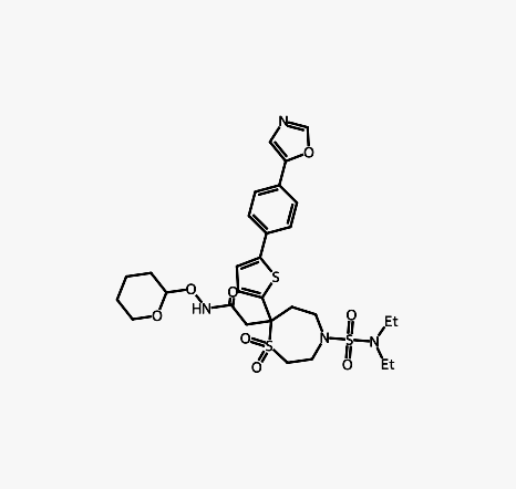 CCN(CC)S(=O)(=O)N1CCC(CC(=O)NOC2CCCCO2)(c2ccc(-c3ccc(-c4cnco4)cc3)s2)S(=O)(=O)CC1